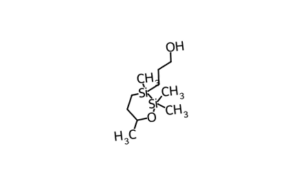 CC1CC[Si](C)(CCCO)[Si](C)(C)O1